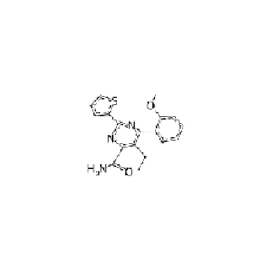 CCc1c(C(N)=O)nc(-c2cccs2)nc1-c1ccccc1OC